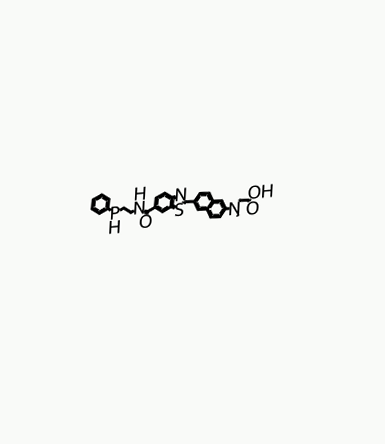 CN(CC(=O)O)c1ccc2cc(-c3nc4ccc(C(=O)NCCPc5ccccc5)cc4s3)ccc2c1